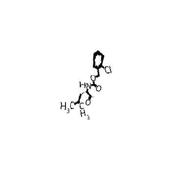 CC(C)C[C@@H]([C]=O)NC(=O)OCc1ccccc1Cl